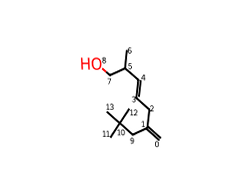 C=C(CC=CC(C)CO)CC(C)(C)C